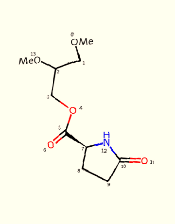 COCC(COC(=O)[C@@H]1CCC(=O)N1)OC